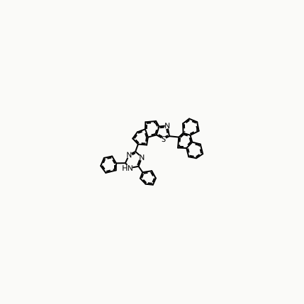 c1ccc(C2=NC(c3ccc4ccc5nc(-c6cc7ccccc7c7ccccc67)sc5c4c3)=NC(c3ccccc3)N2)cc1